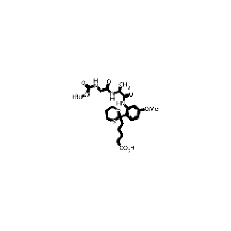 COc1ccc(C2(CCCCC(=O)O)SCCCS2)c(NC(=O)C(C)NC(=O)CNC(=O)OC(C)(C)C)c1